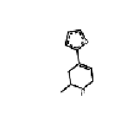 CC1CC(c2ccco2)=CCN1